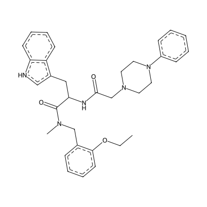 CCOc1ccccc1CN(C)C(=O)C(Cc1c[nH]c2ccccc12)NC(=O)CN1CCN(c2ccccc2)CC1